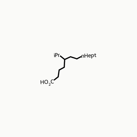 CCCCCCCCCC(CCCC(=O)O)C(C)C